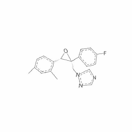 Cc1ccc([C@@H]2O[C@@]2(Cn2cncn2)c2ccc(F)cc2)c(C)c1